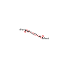 CCCCCC(=O)OCCOCCOCCOCCOCCOC(=O)CCCCC